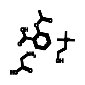 CC(=O)Oc1ccccc1C(=O)O.C[N+](C)(C)CCO.NCC(=O)O